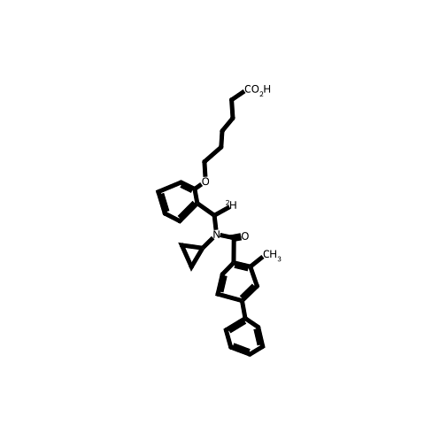 [2H]C(c1ccccc1OCCCCCC(=O)O)N(C(=O)c1ccc(-c2ccccc2)cc1C)C1CC1